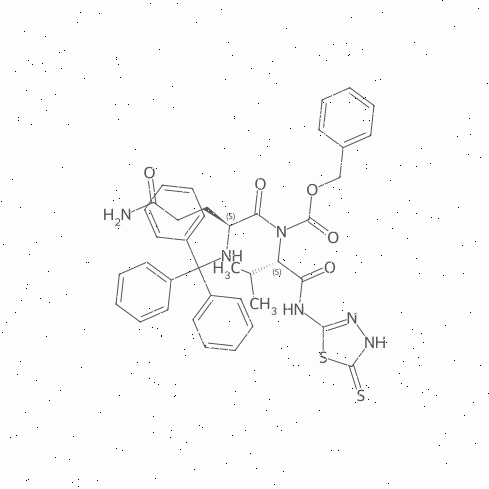 CC(C)[C@@H](C(=O)Nc1n[nH]c(=S)s1)N(C(=O)OCc1ccccc1)C(=O)[C@H](CCC(N)=O)NC(c1ccccc1)(c1ccccc1)c1ccccc1